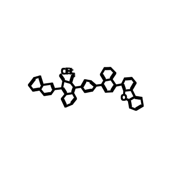 C/C=c1/c(-c2ccc3ccccc3c2)c2ccccc2c(-c2ccc(-c3ccc(-c4cccc5c4oc4ccccc45)c4ccccc34)cc2)/c1=C/CC